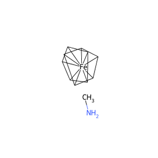 CN.[CH]12[CH]3[CH]4[CH]5[CH]1[Fe]23451678[CH]2[CH]1[CH]6[CH]7[CH]28